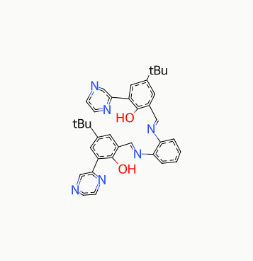 CC(C)(C)c1cc(/C=N/c2ccccc2/N=C/c2cc(C(C)(C)C)cc(-c3cnccn3)c2O)c(O)c(-c2cnccn2)c1